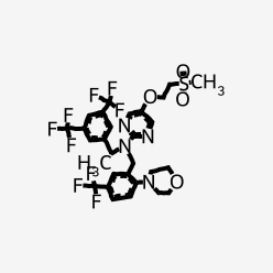 CC(c1cc(C(F)(F)F)cc(C(F)(F)F)c1)N(Cc1cc(C(F)(F)F)ccc1N1CCOCC1)c1ncc(OCCS(C)(=O)=O)cn1